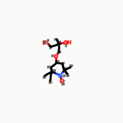 CC(O)(CBr)COC1CC(C)(C)N([O])C(C)(C)C1